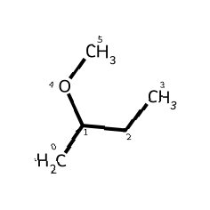 [CH2]C(CC)OC